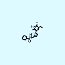 CCc1cc(-c2ccc(CNC(=O)c3ccccc3)o2)c(C)[nH]c1=O